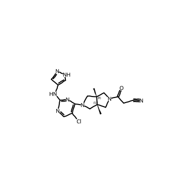 C[C@@]12CN(C(=O)CC#N)C[C@]1(C)CN(c1nc(Nc3cn[nH]c3)ncc1Cl)C2